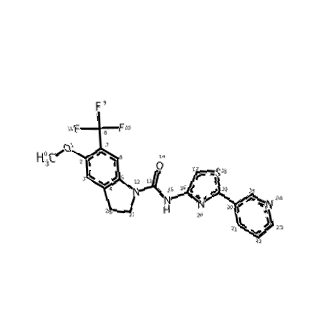 COc1cc2c(cc1C(F)(F)F)N(C(=O)Nc1csc(-c3cccnc3)n1)CC2